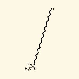 C[Si](Cl)(Cl)CCCCCCCCCCCCCCCCCCCCCl